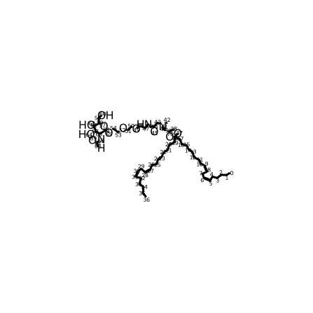 CCCCC/C=C\C/C=C\CCCCCCCCC1(CCCCCCCC/C=C\C/C=C\CCCCC)OC[C@H](CN(C)CC(=O)NCCOCCOCCO[C@@H]2OC(CO)[C@H](O)C(O)C2NC(C)=O)O1